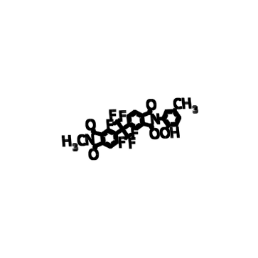 Cc1ccc(O)c(N2C(=O)c3ccc(C(c4ccc5c(c4)C(=O)N(C)C5=O)(C(F)(F)F)C(F)(F)F)cc3C2=O)c1